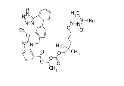 CCOc1nc2cccc(C(=O)OC(C)OC(=O)OCC(C)(C)CCCO/N=[N+](\[O-])N(C)C(C)(C)C)c2n1Cc1ccc(-c2ccccc2-c2nnn[nH]2)cc1